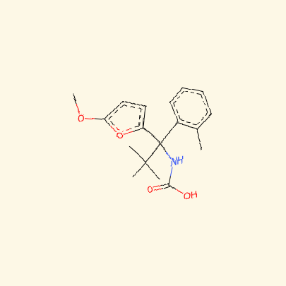 COc1ccc(C(NC(=O)O)(c2ccccc2C)C(C)(C)C)o1